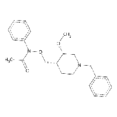 CO[C@@H]1CN(Cc2ccccc2)CC[C@@H]1CON(C(C)=O)c1ccccc1